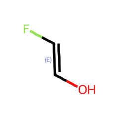 O/C=C/F